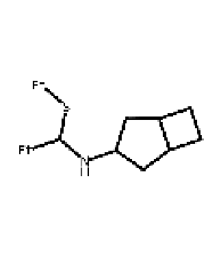 CCSC(CC)NC1CC2CCC2C1